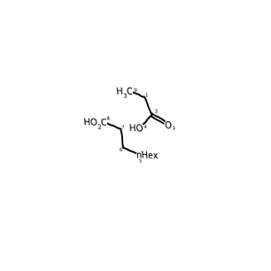 CCC(=O)O.CCCCCCCCC(=O)O